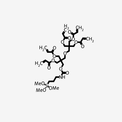 C=CC(=O)OCC(COCC(COC(=O)C=C)(COC(=O)C=C)COC(=O)NCCC[Si](OC)(OC)OC)(COC(=O)C=C)COC(=O)C=C